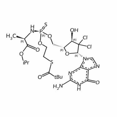 CC(C)OC(=O)[C@@H](C)N[P@](=S)(OCCSC(=O)C(C)(C)C)OC[C@H]1O[C@@H](n2cnc3c(=O)[nH]c(N)nc32)C(Cl)(Cl)[C@@H]1O